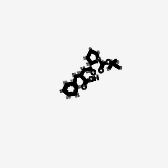 CC(C)(C)OC(=O)N1CCC[C@H]1C(=O)CC(Cc1ccccc1)C(=O)O